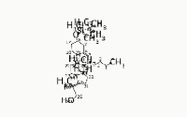 CCCC[C@H]1C=C2CC(O[Si](C)(C)C(C)(C)C)CC[C@]2(C)[C@H]2CC[C@]3(C)C(=C(F)CO)CC[C@H]3[C@H]12